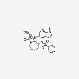 CC(C)(C)OC(=O)N1CCCCC(N(c2c([N+](=O)[O-])cnc3[nH]ccc23)S(=O)(=O)c2ccccc2)C1